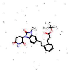 Cn1c(=O)n(C2CCC(=O)NC2=O)c2ccc(CCc3ccccc3CCC(=O)OC(C)(C)C)cc21